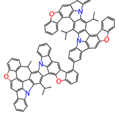 CC(C)c1c2c3c4c(cc5c6ccccc6n(c2c(C(C)C)c2c6c7c(cc8c9cc(-c%10cccc%11oc%12c(cc%13c%14ccccc%14n%14c%15c%16c%17c%18c%19c(cc%20c%21ccccc%21n(c%17c(C(C)C)c%15c%12c%13%14)c%20%18)oc%12cccc(c%12%19)C%16C)c%10%11)ccc9n(c12)c86)oc1ccccc17)c53)oc1ccccc14